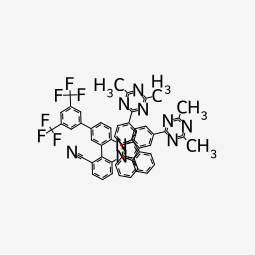 Cc1nc(C)nc(-c2ccc3c(c2)c2ccccc2n3-c2ccc(-c3cc(C(F)(F)F)cc(C(F)(F)F)c3)cc2-c2c(C#N)cccc2-n2c3ccccc3c3cc(-c4nc(C)nc(C)n4)ccc32)n1